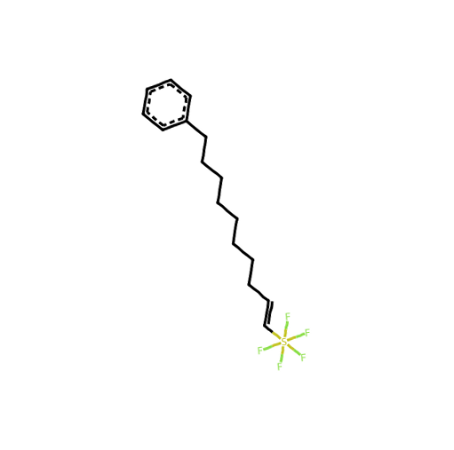 FS(F)(F)(F)(F)/C=C/CCCCCCCCc1ccccc1